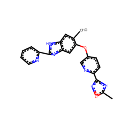 Cc1nc(-c2ccc(Oc3cc4nc(-c5ccccn5)[nH]c4cc3C=O)cn2)no1